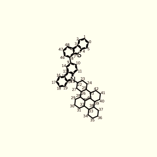 c1ccc2c(c1)sc1c(-c3ccc4c(c3)c3ccccc3n4C3CCC4C(C3)C3CCCC5C6CCCCC6C6CCCC4C6C53)cccc12